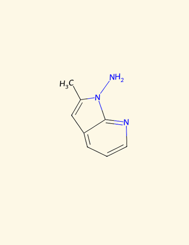 Cc1cc2cccnc2n1N